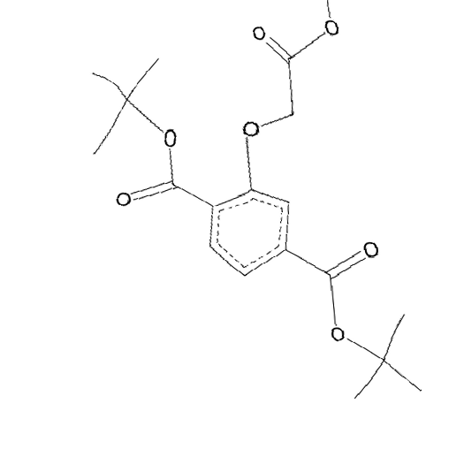 COC(=O)COc1cc(C(=O)OC(C)(C)C)ccc1C(=O)OC(C)(C)C